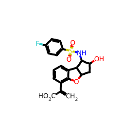 C=C(C(=O)O)c1cccc2c1OC1CC(O)C(NS(=O)(=O)c3ccc(F)cc3)C21